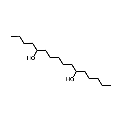 CCCCCC(O)CCCCCC(O)CCCC